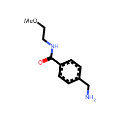 COCCNC(=O)c1ccc(CN)cc1